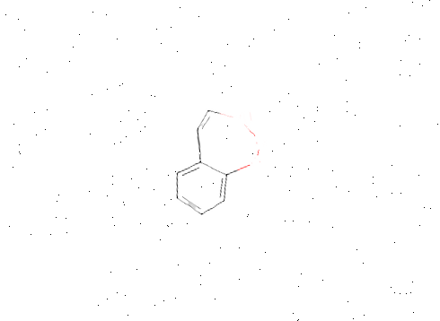 B1C=Cc2ccccc2OO1